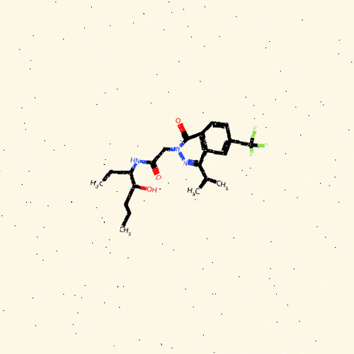 CCCC(O)C(CC)NC(=O)Cn1nc(C(C)C)c2cc(C(F)(F)F)ccc2c1=O